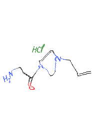 C=CCN1C=CN(C(=O)CN)C1.Cl